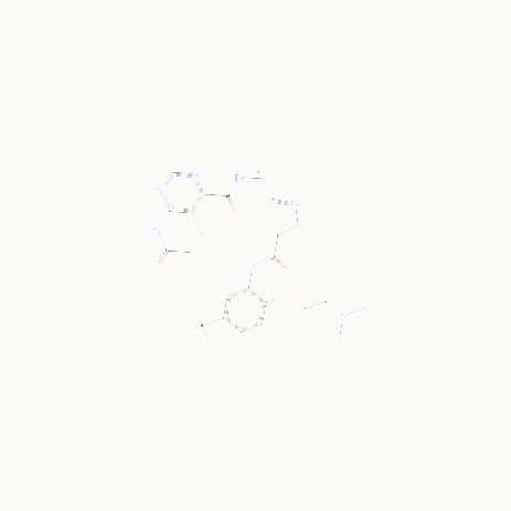 C[C@@H](NC(=O)c1ncnc2c1CCC(=O)N2)C1=NCC(C(=O)Nc2cc(C(F)(F)F)ccc2OCCN(C)C)S1